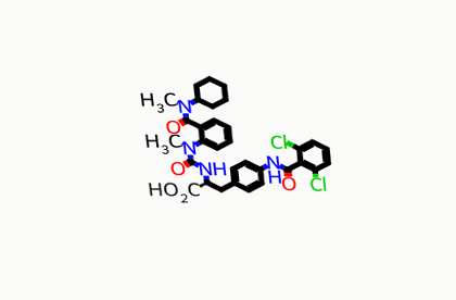 CN(C(=O)N[C@@H](Cc1ccc(NC(=O)c2c(Cl)cccc2Cl)cc1)C(=O)O)c1ccccc1C(=O)N(C)C1CCCCC1